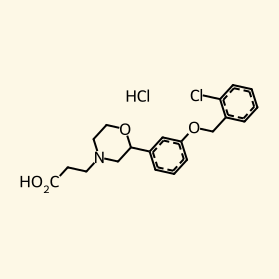 Cl.O=C(O)CCN1CCOC(c2cccc(OCc3ccccc3Cl)c2)C1